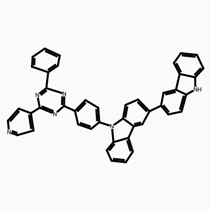 c1ccc(-c2nc(-c3ccncc3)nc(-c3ccc(-n4c5ccccc5c5cc(-c6ccc7[nH]c8ccccc8c7c6)ccc54)cc3)n2)cc1